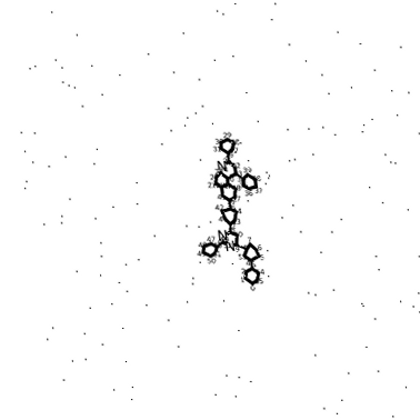 c1ccc(-c2cccc(-c3cc(-c4ccc(-c5ccc6c(ccc7nc(-c8ccccc8)cc(-c8ccccc8)c76)c5)cc4)nc(-c4ccccc4)n3)c2)cc1